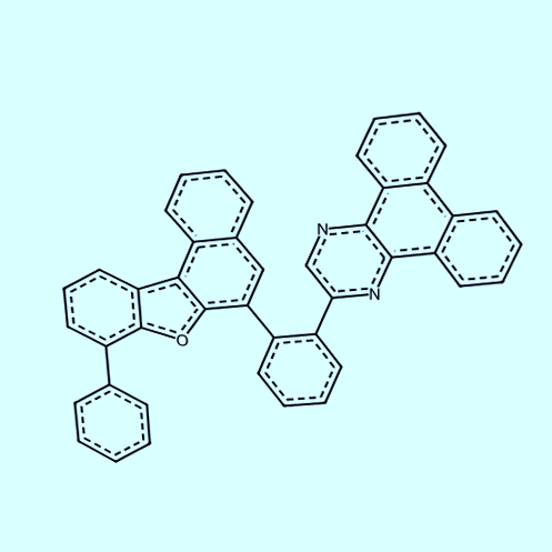 c1ccc(-c2cccc3c2oc2c(-c4ccccc4-c4cnc5c6ccccc6c6ccccc6c5n4)cc4ccccc4c23)cc1